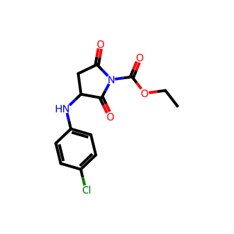 CCOC(=O)N1C(=O)CC(Nc2ccc(Cl)cc2)C1=O